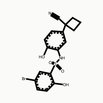 N#CC1(c2ccc(O)c(NS(=O)(=O)c3cc(Br)ccc3O)c2)CCC1